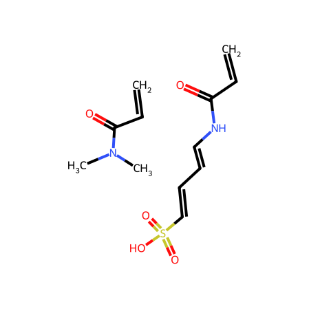 C=CC(=O)N(C)C.C=CC(=O)NC=CC=CS(=O)(=O)O